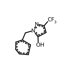 Oc1cc(C(F)(F)F)nn1Cc1ccccc1